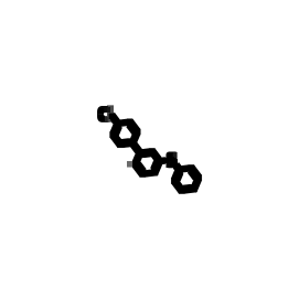 Clc1ccc(-c2[c]ccc(Sc3ccccc3)c2)cc1